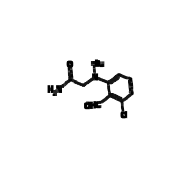 CCCCN(CC(N)=O)c1cccc(Cl)c1C=O